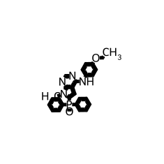 CCOc1ccc(Nc2ncnc3c2cc(P(=O)(c2ccccc2)c2ccccc2)n3C)cc1